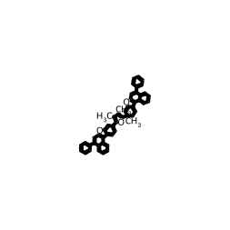 Cc1c(-c2ccc3c(c2)oc2cc(-c4ccccc4)c4ccccc4c23)oc([C@]2(C)C=c3oc4cc(-c5ccccc5)c5ccccc5c4c3=CC2)c1C